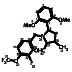 COc1cccc(OC)c1C1CC(C)C(C=O)N1Cc1ccc(OC(F)(F)F)c(F)c1